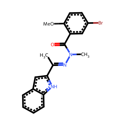 COc1ccc(Br)cc1C(=O)N(C)/N=C(\C)c1cc2ccccc2[nH]1